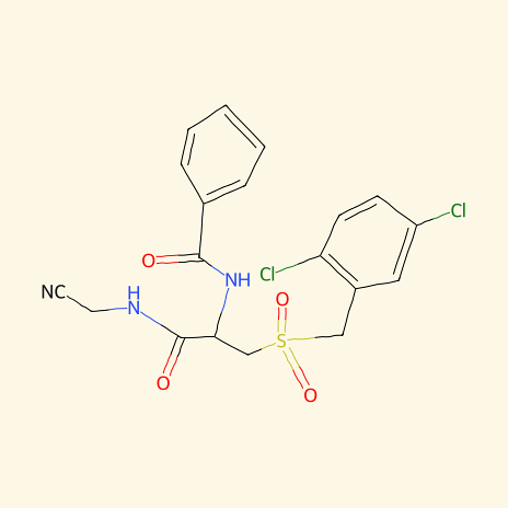 N#CCNC(=O)C(CS(=O)(=O)Cc1cc(Cl)ccc1Cl)NC(=O)c1ccccc1